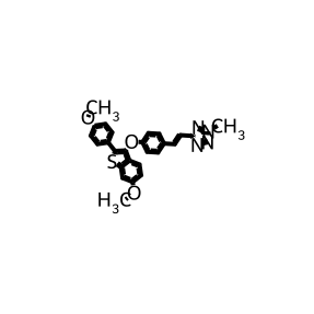 COc1ccc(-c2sc3cc(OC)ccc3c2Oc2ccc(C=Cc3nnn(C)n3)cc2)cc1